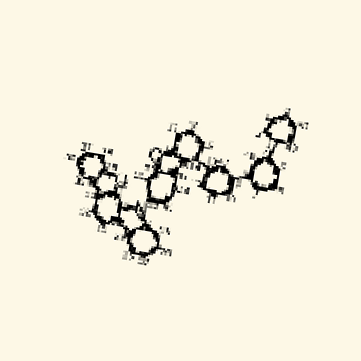 c1ccc(-c2cccc(-c3cccc(-c4cccc5oc6cc(-n7c8ccccc8c8ccc9c%10ccccc%10oc9c87)ccc6c45)c3)c2)cc1